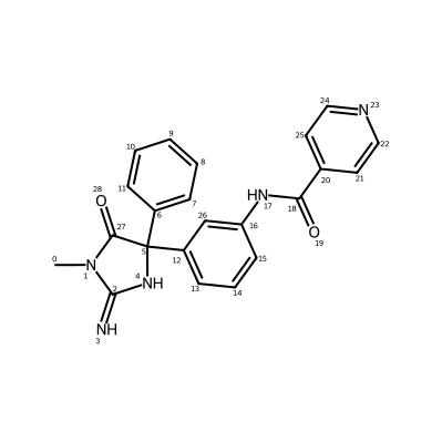 CN1C(=N)NC(c2ccccc2)(c2cccc(NC(=O)c3ccncc3)c2)C1=O